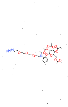 CCN(CCOCCOCCOCCN=[N+]=[N-])C1=C(O[C@@H]2O[C@H](COC(C)=O)[C@H](OC(C)=O)[C@H](OC(C)=O)[C@H]2OC(C)=O)C=CCC1